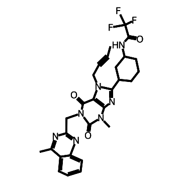 CC#CCn1c(C2CCCC(NC(=O)C(F)(F)F)C2)nc2c1c(=O)n(Cc1nc(C)c3ccccc3n1)c(=O)n2C